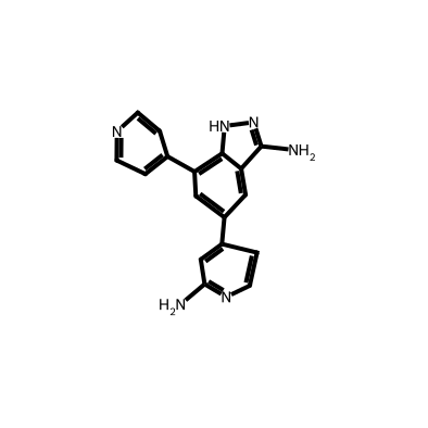 Nc1cc(-c2cc(-c3ccncc3)c3[nH]nc(N)c3c2)ccn1